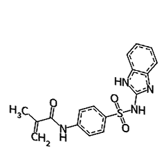 C=C(C)C(=O)Nc1ccc(S(=O)(=O)Nc2nc3ccccc3[nH]2)cc1